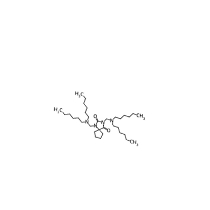 CCCCCCN(CCCCCC)CN1C(=O)N(CN(CCCCCC)CCCCCC)C2(CCCC2)C1=O